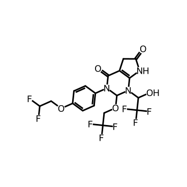 O=C1CC2=C(N1)N(C(O)C(F)(F)F)C(OCC(F)(F)F)N(c1ccc(OCC(F)F)cc1)C2=O